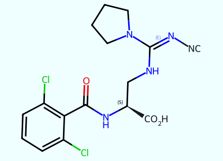 [C-]#[N+]/N=C(\NC[C@H](NC(=O)c1c(Cl)cccc1Cl)C(=O)O)N1CCCC1